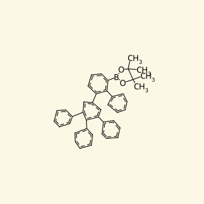 CC1(C)OB(c2cccc(-c3cc(-c4ccccc4)c(-c4ccccc4)c(-c4ccccc4)c3)c2-c2ccccc2)OC1(C)C